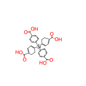 O=C(O)C1=CC=C([Si](C2=CC=C(C(=O)O)CC2)(c2ccc(C(=O)O)cc2)c2ccc(C(=O)O)cc2)CC1